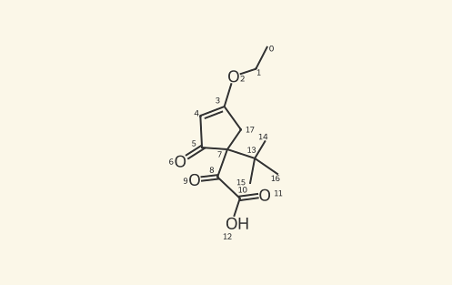 CCOC1=CC(=O)C(C(=O)C(=O)O)(C(C)(C)C)C1